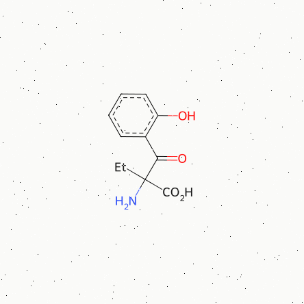 CCC(N)(C(=O)O)C(=O)c1ccccc1O